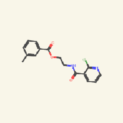 Cc1cccc(C(=O)OCCNC(=O)c2cccnc2Cl)c1